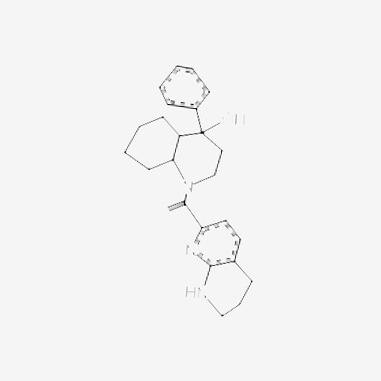 O=C(c1ccc2c(n1)NCCC2)N1CCC(O)(c2ccccc2)C2CCCCC21